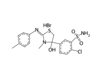 Br.Cc1ccc(N=C2SCC(O)(c3ccc(Cl)c(S(N)(=O)=O)c3)N2C)cc1